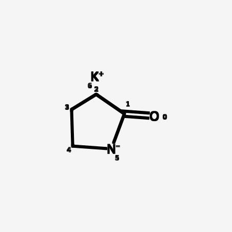 O=C1CCC[N-]1.[K+]